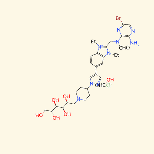 CCn1c(CN(C=O)c2nc(Br)cnc2N)[n+](CC)c2ccc(-c3cnn(C4CCN(C[C@H](O)[C@@H](O)[C@H](O)[C@H](O)CO)CC4)c3)cc21.O=CO.[Cl-]